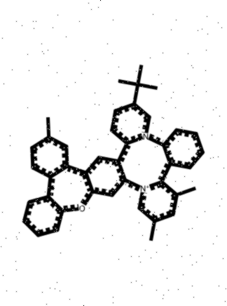 Cc1ccc2c3ccccc3oc3cc4c(cc3c2c1)c1ccc(C(C)(C)C)c[n+]1c1ccccc1c1c(C)cc(C)c[n+]41